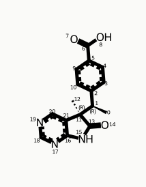 C[C@H](c1ccc(C(=O)O)cc1)[C@@]1(C)C(=O)Nc2ncncc21